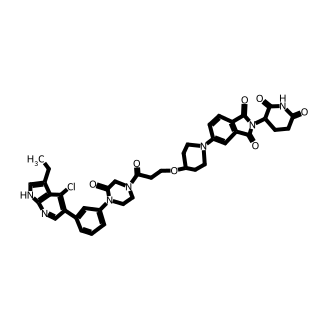 CCc1c[nH]c2ncc(-c3cccc(N4CCN(C(=O)CCOC5CCN(c6ccc7c(c6)C(=O)N(C6CCC(=O)NC6=O)C7=O)CC5)CC4=O)c3)c(Cl)c12